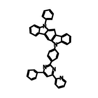 c1ccc(-c2cc(-c3ccccn3)nc(-c3ccc(-n4c5ccccc5c5cc6c(cc54)c4ccccc4n6-c4ccccc4)cc3)n2)cc1